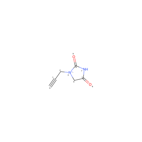 C#CC[N+]1CC(=O)NC1=O